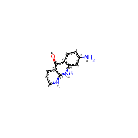 Nc1ccc2c(=O)c3cccnc3[nH]c2c1